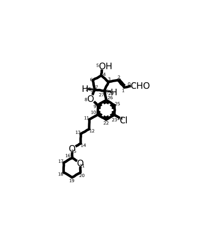 O=CC=CC1C(O)C[C@H]2Oc3c(CCCCOC4CCCCO4)cc(Cl)cc3[C@@H]12